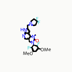 COC1=CC(OC)=C(F)C(N2Cc3cnc4[nH]c(CN5CCC(F)(F)CC5)cc4c3N(C)C2=O)C1F